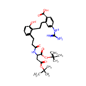 CC(C)(C)OC(=O)CC(NC(=O)CCc1cccc(O)c1CCc1cc(NC(=N)N)ccc1C(=O)O)C(=O)OC(C)(C)C